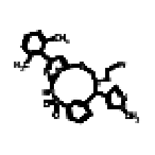 Cc1cccc(C)c1-c1cc2nc(n1)NS(=O)(=O)c1cccc(c1)C(c1cnn(C)c1)[C@H](CCC(C)C)CO2